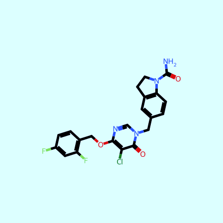 NC(=O)N1CCc2cc(Cn3cnc(OCc4ccc(F)cc4F)c(Cl)c3=O)ccc21